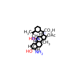 CC(=O)O[C@H]1C[C@@]2(C)[C@@H](C[C@@H](O)[C@H]3[C@@]4(C)CC[C@@H](O)[C@@H](N)[C@@H]4CC[C@@]32CN)/C1=C(/C(=O)O)C1CCCC(=C(C)C)C1